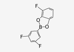 Fc1cc(F)cc(B2Oc3cccc(F)c3O2)c1